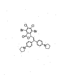 O=C1OC(C=C(c2ccc(N3CCCC3)cc2)c2ccc(N3CCCC3)cc2)c2c(Br)c(Cl)c(Cl)c(Br)c21